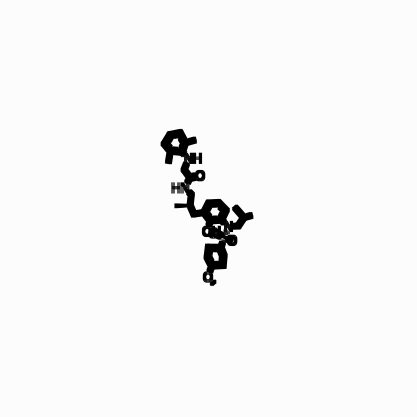 COc1ccc(S(=O)(=O)N(CC(C)C)c2cccc(C[C@@H](C)CNC(=O)CNc3c(C)cccc3C)c2O)cc1